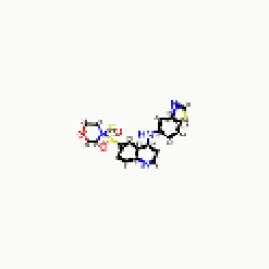 O=S(=O)(c1ccc2nccc(Nc3ccc4scnc4c3)c2c1)[N+]1([S-])CCOCC1